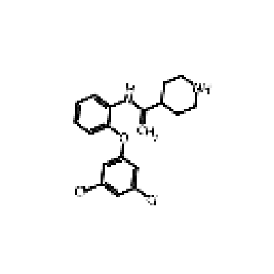 C=C(Nc1ccccc1Oc1cc(Cl)cc(Cl)c1)C1CCNCC1